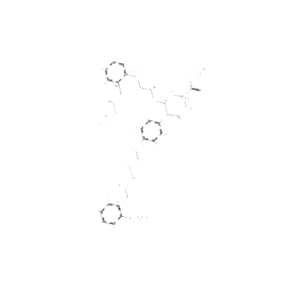 COc1ccccc1COCCCOc1ccc(C2CCN(C(=O)OC(C)(C)C)CC2OCCOc2ccccc2CCCO)cc1